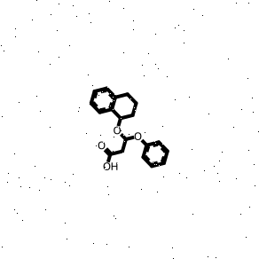 O=C(O)CC(Oc1ccccc1)OC1CCCc2ccccc21